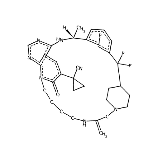 C=C1CN2CCC(CC2)C(F)(F)c2cccc(c2F)[C@@H](C)Nc2ncnc3c2cc(C2(C#N)CC2)c(=O)n3CCCCN1